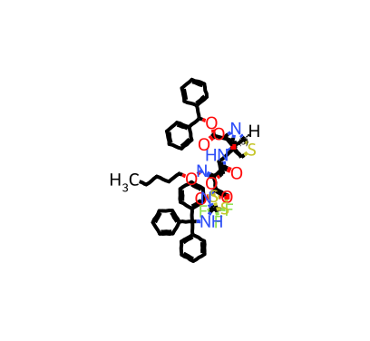 CCCCCON=C(C(=O)NC12C(=O)N3C(C(=O)OC(c4ccccc4)c4ccccc4)=C(C=COS(=O)(=O)C(F)(F)F)C1S[C@H]32)c1csc(NC(c2ccccc2)(c2ccccc2)c2ccccc2)n1